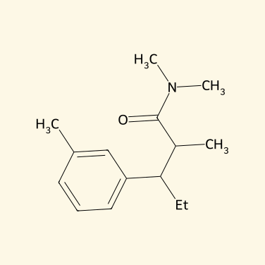 CCC(c1cccc(C)c1)C(C)C(=O)N(C)C